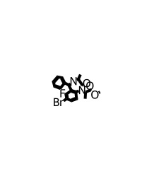 COC(=O)C(C)N1C(=O)C(C)N=C(c2ccccc2F)c2cc(Br)ccc21